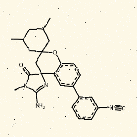 [C-]#[N+]c1cccc(-c2ccc3c(c2)C2(CC4(CC(C)CC(C)C4)O3)N=C(N)N(C)C2=O)c1